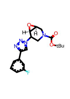 CC(C)(C)OC(=O)N1CC(n2cc(-c3cccc(F)c3)nn2)[C@H]2O[C@H]2C1